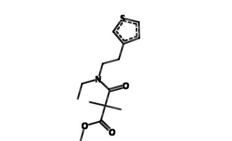 CCN(CCc1ccsc1)C(=O)C(C)(C)C(=O)OC